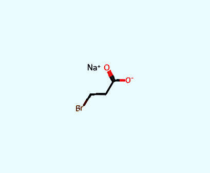 O=C([O-])CCBr.[Na+]